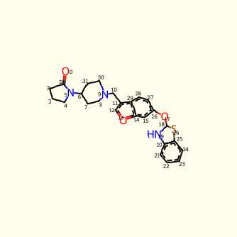 O=C1CCCN1C1CCN(Cc2coc3cc(OC4Nc5ccccc5S4)ccc23)CC1